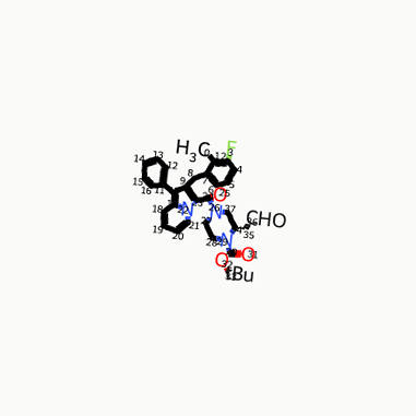 Cc1c(F)cccc1Cc1c(-c2ccccc2)c2ccccn2c1C(=O)N1CCN(C(=O)OC(C)(C)C)[C@@H](CC=O)C1